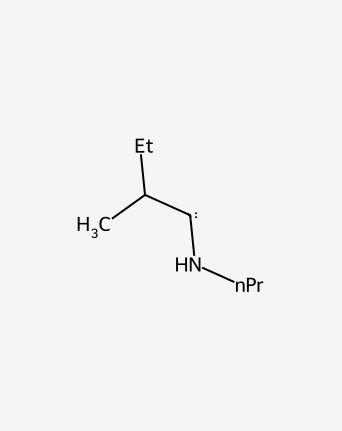 CCCN[C]C(C)CC